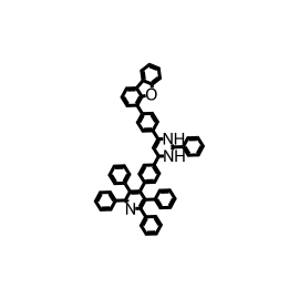 C1=C(c2ccc(-c3cccc4c3oc3ccccc34)cc2)NC(c2ccccc2)NC1c1ccc(-c2c(-c3ccccc3)c(-c3ccccc3)nc(-c3ccccc3)c2-c2ccccc2)cc1